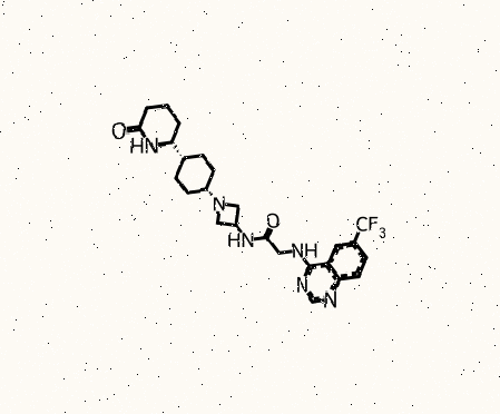 O=C(CNc1ncnc2ccc(C(F)(F)F)cc12)NC1CN([C@H]2CC[C@@H](C3CCCC(=O)N3)CC2)C1